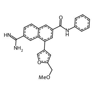 COCc1cc(-c2cc(C(=O)Nc3ccccc3)cc3ccc(C(=N)N)cc23)co1